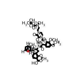 COc1ccc(C(NC(=O)N2CCN(CCN(C)C(=O)OC(C)(C)C)C(=O)C2=O)C(=O)NC(Cc2cccc(C(=O)O)c2OC)B2O[C@@H]3C[C@@H]4C[C@@H](C4(C)C)[C@]3(C)O2)c(Cl)c1OC